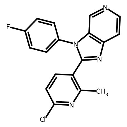 Cc1nc(Cl)ccc1-c1nc2ccncc2n1-c1ccc(F)cc1